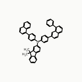 CC1(C)c2ccccc2-c2ccc(N(c3ccc(-c4ccc5cccc(-c6ccccc6)c5c4)cc3)c3ccc(-c4cccc5ccccc45)cc3)cc21